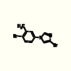 Cc1cc(-n2cnc(Br)c2)ccc1Br